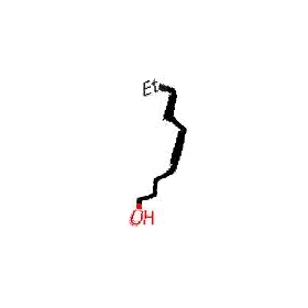 CC/C=C/C=C\CCCO